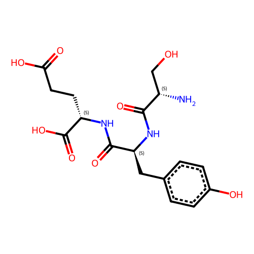 N[C@@H](CO)C(=O)N[C@@H](Cc1ccc(O)cc1)C(=O)N[C@@H](CCC(=O)O)C(=O)O